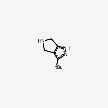 CC(C)(C)c1n[nH]c2c1CNC2